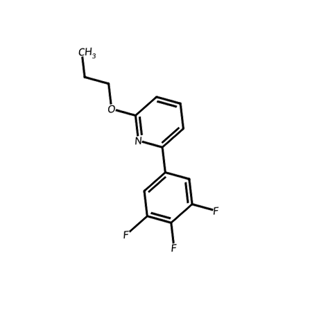 CCCOc1cccc(-c2cc(F)c(F)c(F)c2)n1